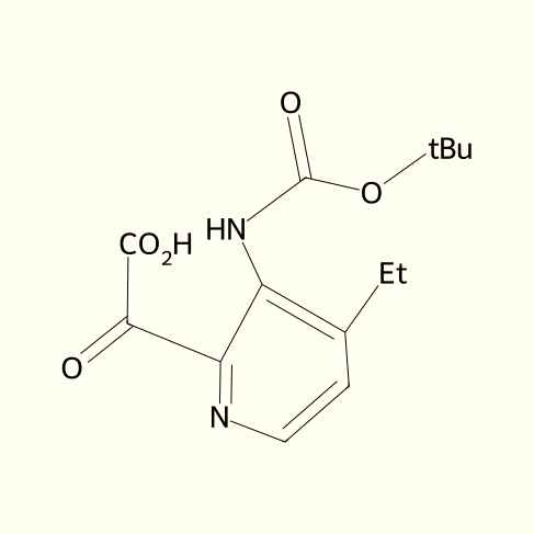 CCc1ccnc(C(=O)C(=O)O)c1NC(=O)OC(C)(C)C